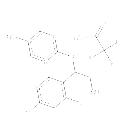 N#Cc1cnc(NC(CN)c2ccc(F)cc2F)nc1.O=C(O)C(F)(F)F